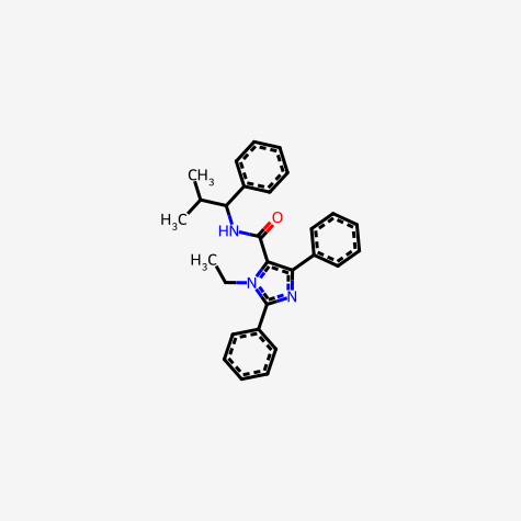 CCn1c(-c2ccccc2)nc(-c2ccccc2)c1C(=O)NC(c1ccccc1)C(C)C